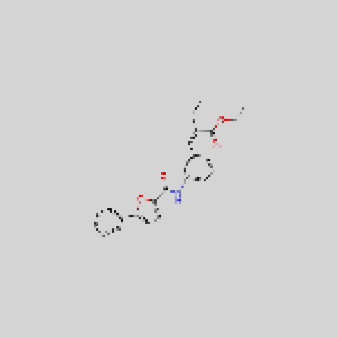 CCOC(=O)C(=Cc1cccc(NC(=O)c2ccc(-c3ccccc3)o2)c1)CC